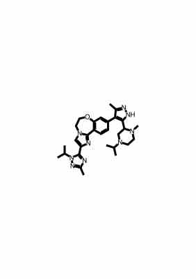 Cc1nc(-c2cn3c(n2)-c2ccc(-c4c(C)n[nH]c4C4CN(C(C)C)CCN4C)cc2OCC3)n(C(C)C)n1